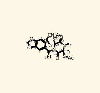 CCC(c1ccc2c(c1)OCO2)N1C(=O)[C@](C)(SC(C)=O)N(C)C(=O)[C@]1(CCC#N)SC(C)=O